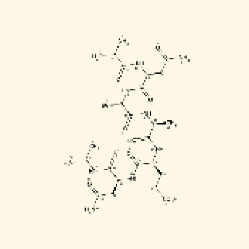 CC(C)[C@H](NC(=O)[C@H](CC(N)=O)NC(=O)[C@H](C)N)C(=O)N[C@@H](C)C(=O)N[C@@H](CCC(=O)O)C(=O)N[C@@H](CC(N)=O)C(=O)N[C@@H](C)C(=O)O